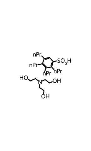 CCCc1cc(S(=O)(=O)O)c(CCC)c(CCC)c1CCC.OCCN(CCO)CCO